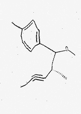 CC#C[C@@H](C)C(OC)c1ccc(C)cc1